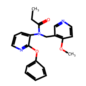 CCC(=O)N(Cc1cnccc1OC)c1cccnc1Oc1ccccc1